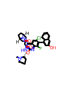 COC(=N)CC(=O)N1[C@@H]2CC[C@H]1CN(c1nc(OC[C@@H]3CCCN3C)nc3c(F)c(-c4cc(O)cc5ccccc45)c(Cl)cc13)C2